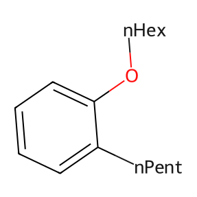 [CH2]CCCCc1ccccc1OCCCCCC